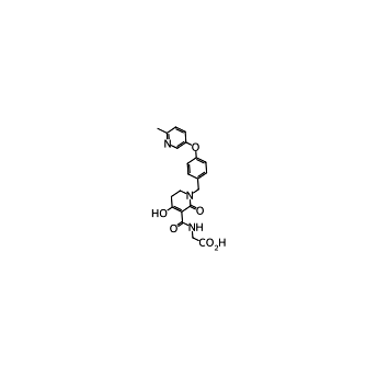 Cc1ccc(Oc2ccc(CN3CCC(O)=C(C(=O)NCC(=O)O)C3=O)cc2)cn1